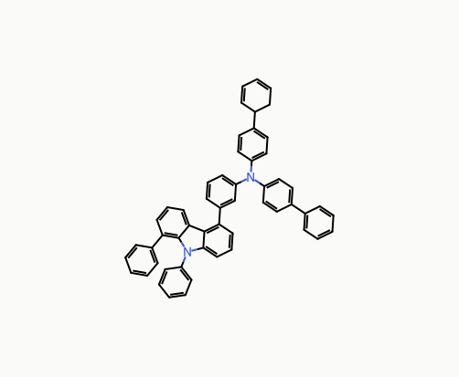 C1=CCC(c2ccc(N(c3ccc(-c4ccccc4)cc3)c3cccc(-c4cccc5c4c4cccc(-c6ccccc6)c4n5-c4ccccc4)c3)cc2)C=C1